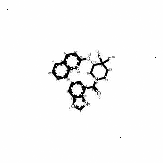 O=C(c1cccc2ocnc12)N1CCC(F)(F)[C@@H](Oc2ccc3ccccc3n2)C1